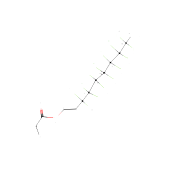 CC(=O)CC(=O)OCCC(F)(F)C(F)(F)C(F)(F)C(F)(F)C(F)(F)C(F)(F)C(F)(F)C(F)(F)F